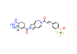 O=C(/C=C/c1ccc([S+]([O-])C(F)(F)F)cc1)N1C=CC2=C[N+](C(=O)C3=C[C@H]4NNNC4CC3)=CC2=CC1